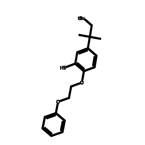 CC(C)(C)CC(C)(C)c1ccc(OCCOc2ccccc2)c(S)c1